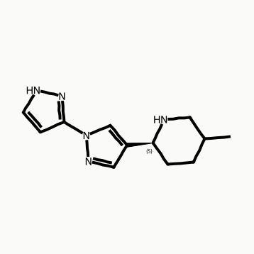 CC1CC[C@@H](c2cnn(-c3cc[nH]n3)c2)NC1